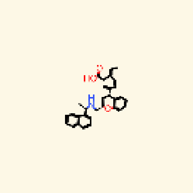 C=C(/C=C\C(=C/C)CC(=O)O)[C@@H]1C[C@H](CN[C@H](C)c2cccc3ccccc23)Oc2ccccc21